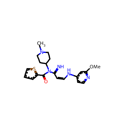 COc1cc(N/C=C\C(=N)N(C(=O)c2cccs2)C2CCN(C)CC2)ccn1